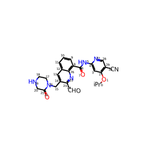 CC(C)Oc1cc(NC(=O)c2cccc3cc(CN4CCNCC4=O)c(C=O)nc23)ncc1C#N